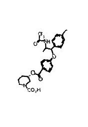 Cc1ccc(C(Oc2ccc(C(=O)O[C@H]3CCCN(C(=O)O)C3)cc2)C(C)NC(=O)C(F)(F)F)cc1